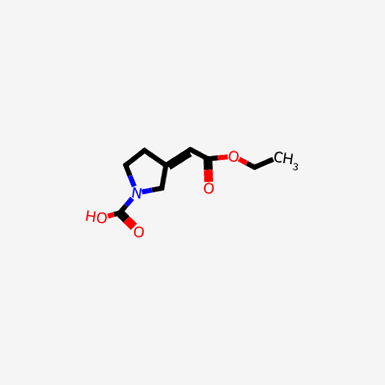 CCOC(=O)C=C1CCN(C(=O)O)C1